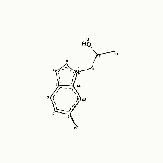 Cc1ccc2ccn(CC(C)O)c2c1